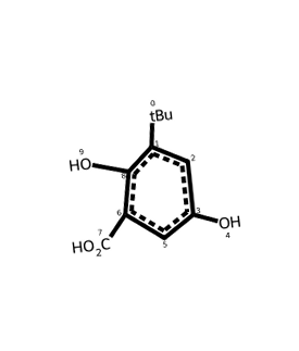 CC(C)(C)c1cc(O)cc(C(=O)O)c1O